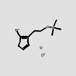 C[Si](C)(C)OCCC1=[C]([Ti+2])CC=C1.[Cl-].[Cl-]